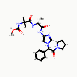 CCCC[C@@H](NC(=O)C(C)(C)NC(=O)OC(C)(C)C)C(=O)Nc1cn(C(C(=O)N2CCCC2)c2ccccc2)cn1